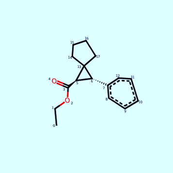 CCOC(=O)[C@@H]1[C@@H](c2ccccc2)C12CCCC2